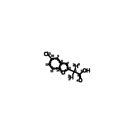 [2H]C([2H])(C(=O)O)c1cc2cc(Cl)ccc2o1